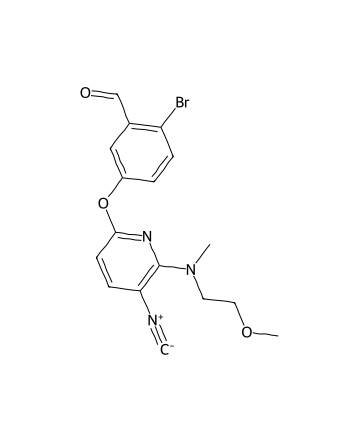 [C-]#[N+]c1ccc(Oc2ccc(Br)c(C=O)c2)nc1N(C)CCOC